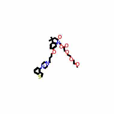 COCCOCCOCC(=O)OCN1C(=O)CC(C)(C)c2ccc(OCCCCN3CCN(c4cccc5sccc45)CC3)cc21